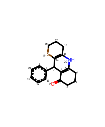 O=C1CCCC2=C1C(c1ccccc1)C1=C(CCCS1)N2